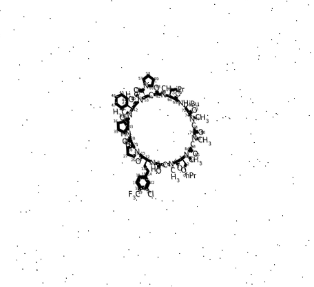 CCCOC[C@H]1C(=O)N(C)CC(=O)N[C@@H](CCc2ccc(C(F)(F)F)c(Cl)c2)C(=O)N2CCC[C@H]2C(=O)NC2(CCCC2)C(=O)N(C)[C@@H](C2CCCCC2)C(=O)N(C)[C@H](C(=O)N2CCCC2)CC(=O)N(C)[C@@H](CC(C)C)C(=O)N[C@@H]([C@@H](C)CC)C(=O)N(C)CC(=O)N(C)CC(=O)N1C